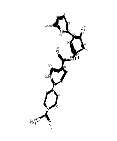 CC(=O)N1CCN(c2ccc(C(=O)Nc3ccc(Cl)c(-c4ccccn4)c3)cn2)CC1